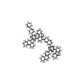 c1ccc(-c2ccc(-c3nc(-c4cc5ccccc5c5ccccc45)nc(-c4ccc(-c5ccc6ccc(-c7nc(-c8ccc9c(ccc%10ccccc%109)c8)nc(-c8cccc9oc%10ccccc%10c89)n7)cc6c5)c5oc6ccccc6c45)n3)cc2)cc1